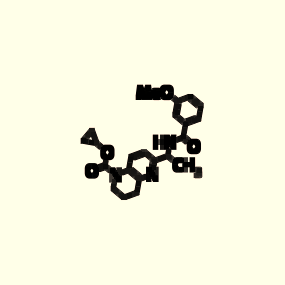 COc1cccc(C(=O)NC(C)c2ccc3c(n2)CCCN3C(=O)OC2CC2)c1